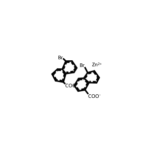 O=C([O-])c1cccc2c(Br)cccc12.O=C([O-])c1cccc2c(Br)cccc12.[Zn+2]